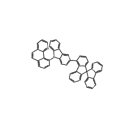 c1ccc2c(c1)-c1ccccc1C21c2ccccc2-c2c(-c3ccc4c(c3)c3ccccc3n4-c3cccc4ccc5cccnc5c34)cccc21